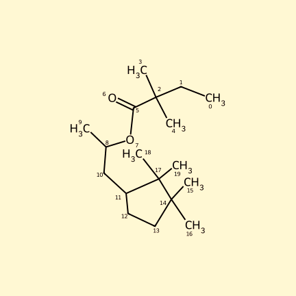 CCC(C)(C)C(=O)OC(C)CC1CCC(C)(C)C1(C)C